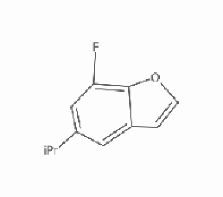 CC(C)c1cc(F)c2occc2c1